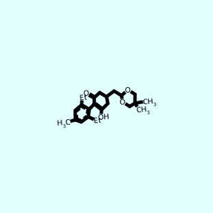 CCc1cc(C)cc(CC)c1C1=C(O)CC(CC2OCC(C)(C)CO2)CC1=O